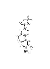 CC(C)(C)OC(=O)N1CCN2c3cc(Br)c(N)cc3OCC2C1